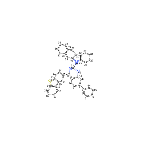 c1ccc(-c2ccc3c(-c4ccc5sc6ccccc6c5c4)nc(-n4c5ccccc5c5cc6ccccc6cc54)nc3c2)cc1